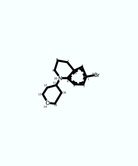 Brc1ccc2c(c1)CCCN2C1CCOCC1